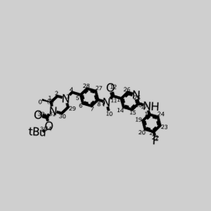 C[C@H]1CN(Cc2ccc(N(C)C(=O)c3ccc(Nc4ccc(F)cc4)nc3)cc2)CCN1C(=O)OC(C)(C)C